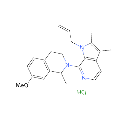 C=CCn1c(C)c(C)c2ccnc(N3CCc4ccc(OC)cc4C3C)c21.Cl